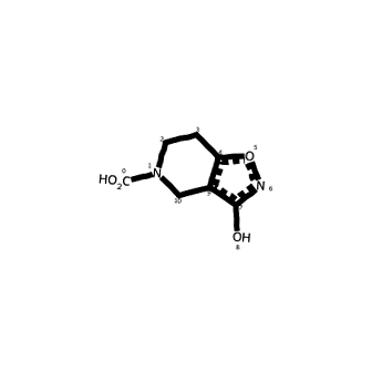 O=C(O)N1CCc2onc(O)c2C1